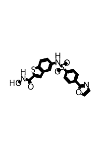 O=C(NO)c1cc2cc(NS(=O)(=O)c3ccc(-c4ncco4)cc3)ccc2s1